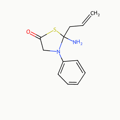 C=CCC1(N)SC(=O)CN1c1ccccc1